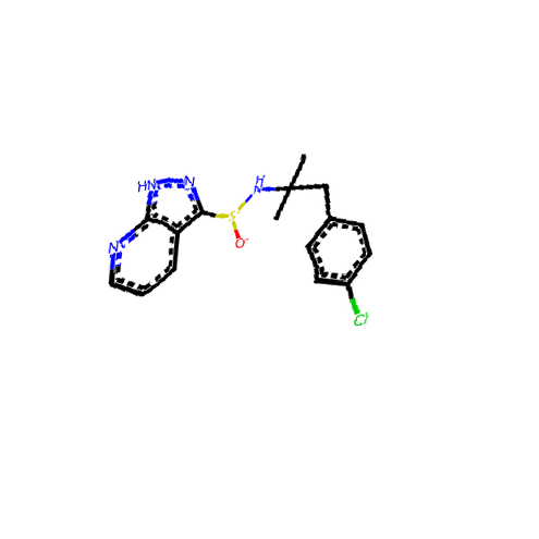 CC(C)(Cc1ccc(Cl)cc1)N[S+]([O-])c1n[nH]c2ncccc12